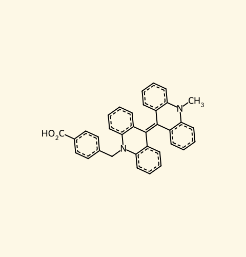 CN1c2ccccc2C(=C2c3ccccc3N(Cc3ccc(C(=O)O)cc3)c3ccccc32)c2ccccc21